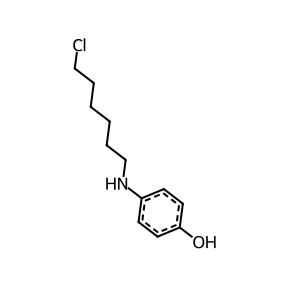 Oc1ccc(NCCCCCCCl)cc1